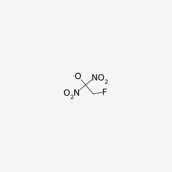 [O]C(CF)([N+](=O)[O-])[N+](=O)[O-]